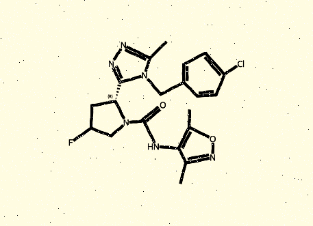 Cc1noc(C)c1NC(=O)N1CC(F)C[C@@H]1c1nnc(C)n1Cc1ccc(Cl)cc1